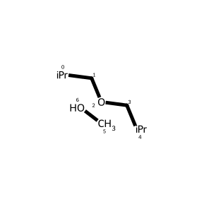 CC(C)COCC(C)C.CO